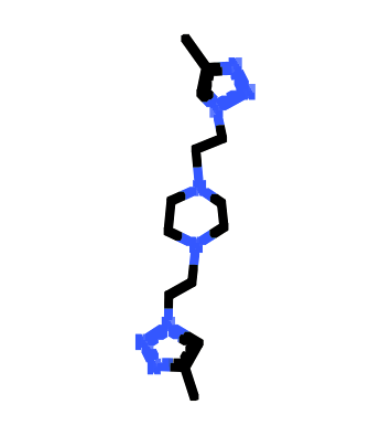 Cc1cn(CCN2CCN(CCn3cc(C)nn3)CC2)nn1